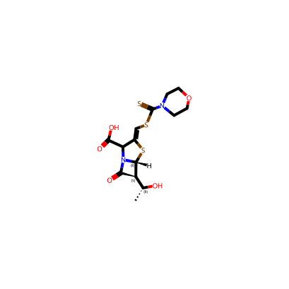 C[C@@H](O)[C@H]1C(=O)N2C(C(=O)O)C(=CSC(=S)N3CCOCC3)S[C@H]12